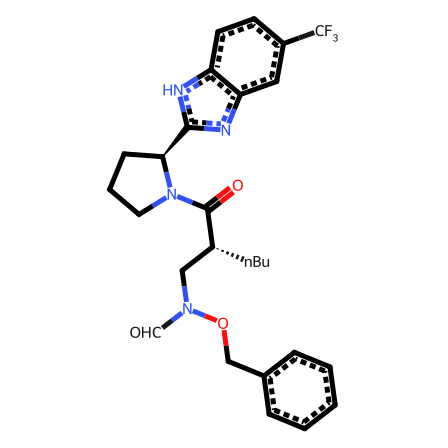 CCCC[C@H](CN(C=O)OCc1ccccc1)C(=O)N1CCC[C@H]1c1nc2cc(C(F)(F)F)ccc2[nH]1